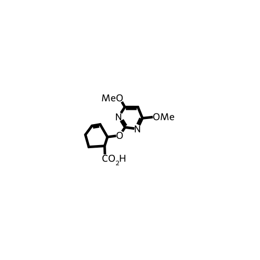 COc1cc(OC)nc(OC2C=CCCC2C(=O)O)n1